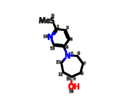 CSc1ccc(N2CCC[C@H](O)CC2)cn1